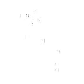 COc1cccc2c(N3CC(C)(CCN(C4CC4)S(N)(=O)=O)C3)ccnc12